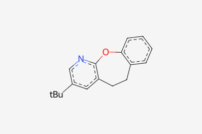 CC(C)(C)c1cnc2c(c1)CCc1ccccc1O2